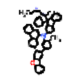 C=C/C=C\C=C(/C)C1(c2ccccc2)c2ccccc2-c2ccc(N(C3=CC(c4ccc5oc6ccccc6c5c4)=CCC3C)c3cc4ccccc4c4ccccc34)cc21